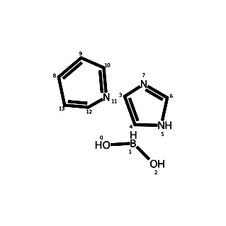 OBO.c1c[nH]cn1.c1ccncc1